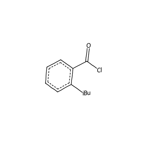 CCC(C)c1ccccc1C(=O)Cl